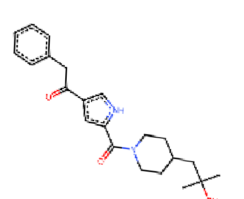 CC(C)(O)CC1CCN(C(=O)c2cc(C(=O)Cc3ccccc3)c[nH]2)CC1